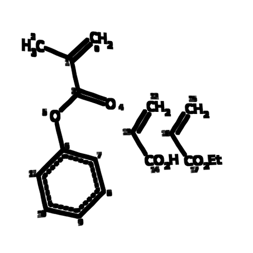 C=C(C)C(=O)Oc1ccccc1.C=CC(=O)O.C=CC(=O)OCC